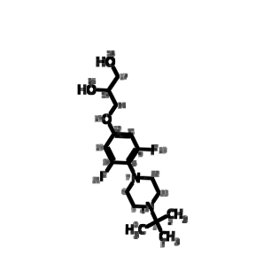 CC(C)(C)N1CCN(c2c(F)cc(OCC(O)CO)cc2F)CC1